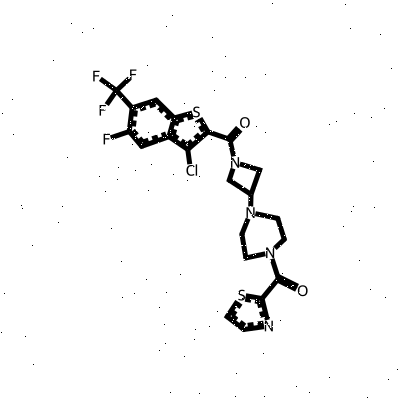 O=C(c1nccs1)N1CCN(C2CN(C(=O)c3sc4cc(C(F)(F)F)c(F)cc4c3Cl)C2)CC1